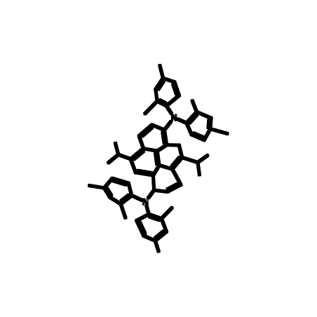 Cc1ccc(N(c2ccc(C)cc2C)c2ccc3c(C(C)C)cc4c5c3c2CC(C(C)C)=C5C=CC4N(c2ccc(C)cc2C)c2ccc(C)cc2C)c(C)c1